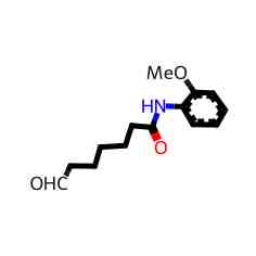 COc1ccccc1NC(=O)CCCCCC=O